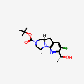 C[C@@H]1CN(C(=O)OC(C)(C)C)C[C@H]2Cc3cc(F)c([C@@H](C)O)nc3N21